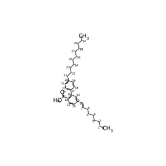 CCCCCCCC=Cc1ccc(C(=O)O)c(-c2ccc(CCCCCCCCCCC)cc2)c1